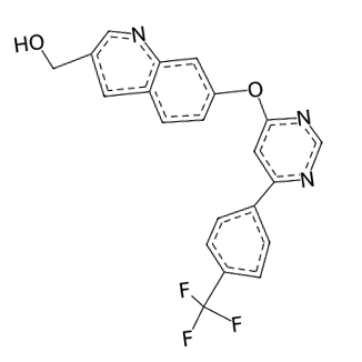 OCc1cnc2cc(Oc3cc(-c4ccc(C(F)(F)F)cc4)ncn3)ccc2c1